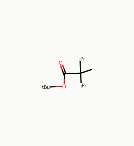 CC(C)C(C)(C(=O)OC(C)(C)C)C(C)C